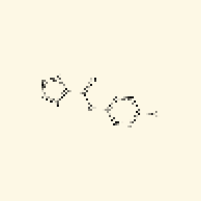 O=C(Oc1ccc(Cl)cc1)c1nccs1